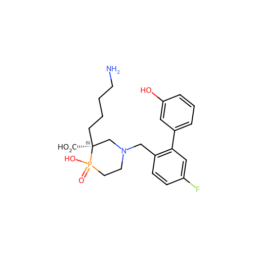 NCCCC[C@@]1(C(=O)O)CN(Cc2ccc(F)cc2-c2cccc(O)c2)CCP1(=O)O